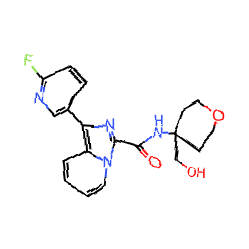 O=C(NC1(CO)CCOCC1)c1nc(-c2ccc(F)nc2)c2ccccn12